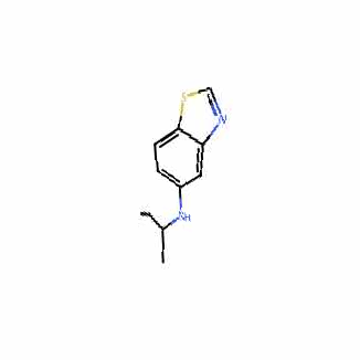 CC(C)Nc1ccc2scnc2c1